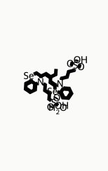 CCC(=CC1C[Se]c2ccccc2N1CCCCS(=O)(=O)O)C=C1[Se]c2ccccc2N1CCCCS(=O)(=O)O.O